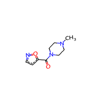 CN1CCN(C(=O)c2ccno2)CC1